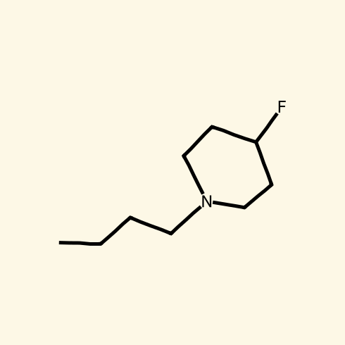 CCCCN1CCC(F)CC1